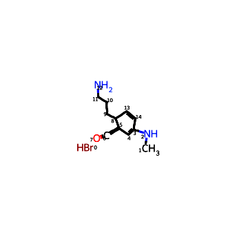 Br.CNC1=CC(=C=O)C(CCCN)C=C1